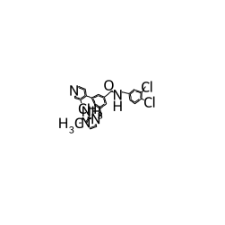 Cc1cnccc1-c1cc(Cn2ccn(C)c2=N)cc(C(=O)NCc2ccc(Cl)c(Cl)c2)c1